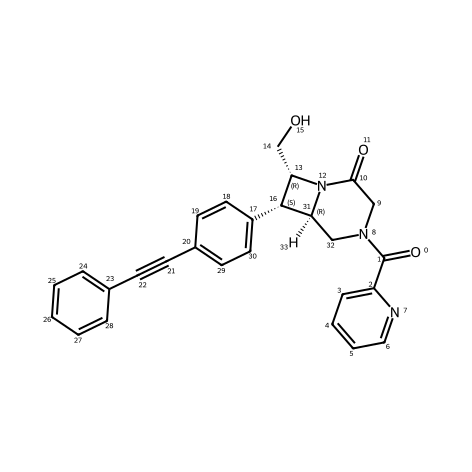 O=C(c1ccccn1)N1CC(=O)N2[C@@H](CO)[C@@H](c3ccc(C#Cc4ccccc4)cc3)[C@@H]2C1